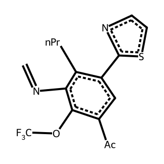 C=Nc1c(CCC)c(-c2nccs2)cc(C(C)=O)c1OC(F)(F)F